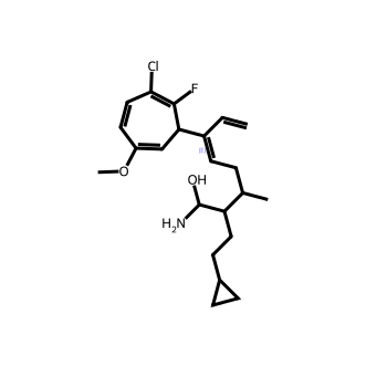 C=C/C(=C\CC(C)C(CCC1CC1)C(N)O)C1C=C(OC)C=CC(Cl)=C1F